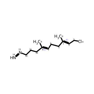 C/C(=C\CCl)CC/C=C(\C)CCCN=N